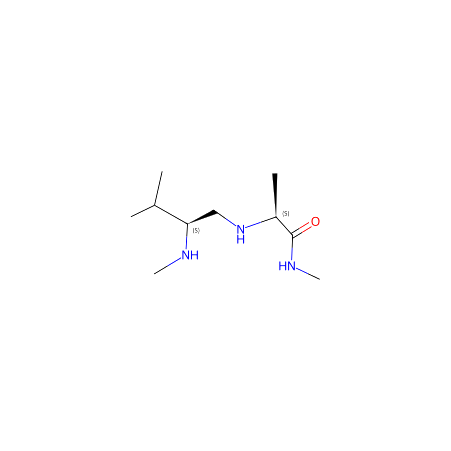 CNC(=O)[C@H](C)NC[C@@H](NC)C(C)C